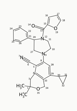 CC1(C)Cc2c(C#N)c(N3CCN(C(=O)c4ccco4)C(c4ccccc4)C3)cc(C3CC3)c2CO1